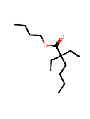 CCCCOC(=O)C(CC)(CC)CCCC